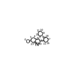 COc1ccc2c(-c3ccccc3)c(-c3ccccc3)cnc2c1